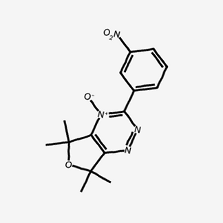 CC1(C)OC(C)(C)c2c1nnc(-c1cccc([N+](=O)[O-])c1)[n+]2[O-]